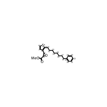 COC(=O)C1OC1c1ccsc1CCCCCCCCc1ccccc1